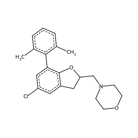 Cc1cccc(C)c1-c1cc(Cl)cc2c1OC(CN1CCOCC1)C2